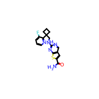 NC(=O)c1cc2cnc(NCC3(c4ncccc4F)CCC3)nc2s1